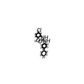 COc1ccc(Cl)cc1NC(=O)Nc1ccc(C2CCCCC2)cc1